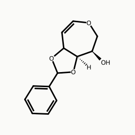 O[C@@H]1COC=CC2OC(c3ccccc3)O[C@@H]21